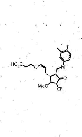 COC1C(C(F)(F)F)C(=O)[C@H](CNc2ccc(C)c(C)c2)[C@H]1C/C=C\OCCC(=O)O